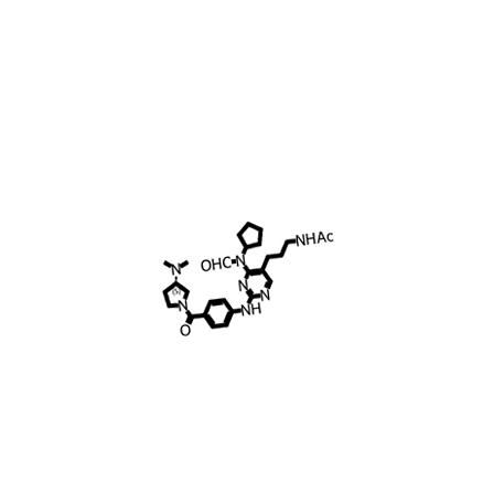 CC(=O)NCCCc1cnc(Nc2ccc(C(=O)N3CC[C@H](N(C)C)C3)cc2)nc1N(C=O)C1CCCC1